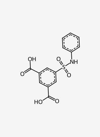 O=C(O)c1cc(C(=O)O)cc(S(=O)(=O)Nc2ccccc2)c1